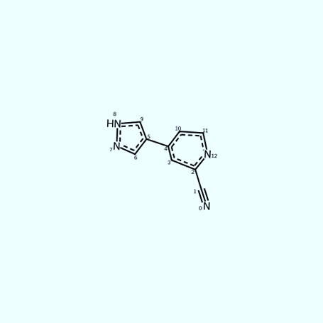 N#Cc1cc(-c2cn[nH]c2)ccn1